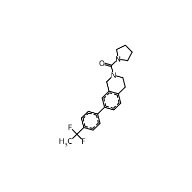 CC(F)(F)c1ccc(-c2ccc3c(c2)CN(C(=O)N2CCCC2)CC3)cc1